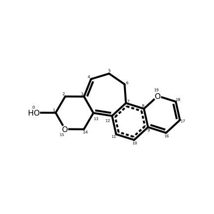 OC1CC2=CCCc3c4c(ccc3=C2CO1)=CC=CO4